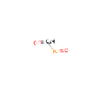 O=[P][GeH]=[O]